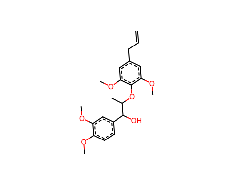 C=CCc1cc(OC)c(OC(C)C(O)c2ccc(OC)c(OC)c2)c(OC)c1